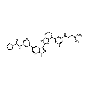 CN(C)CCNc1cc(F)cc(-c2nccc3[nH]c(-c4n[nH]c5ncc(-c6cncc(NC(=O)C7CCCC7)c6)cc45)nc23)c1